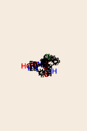 CCC(O)(CC)C(=O)NC1Cc2ccc3c(c2)C24c5cc(Cl)cc(c5N[C@H]2O3)-c2cccc3c2C(=C(Cl)C3)c2oc(nc2Cl)-c2nc(oc24)[C@H](C(C)C)NC1=O